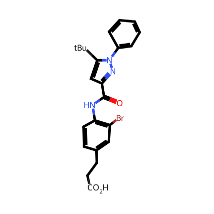 CC(C)(C)c1cc(C(=O)Nc2ccc(CCC(=O)O)cc2Br)nn1-c1ccccc1